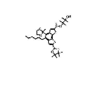 CCCCCCc1c(C2(C)OCCO2)c2cc(BOC(C)(C)C(C)(C)O)sc2c2sc(B3OC(C)(C)C(C)(C)O3)cc12